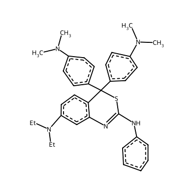 CCN(CC)c1ccc2c(c1)N=C(Nc1ccccc1)SC2(c1ccc(N(C)C)cc1)c1ccc(N(C)C)cc1